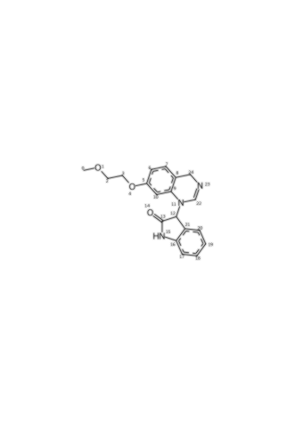 COCCOc1ccc2c(c1)N(C1C(=O)Nc3ccccc31)C=NC2